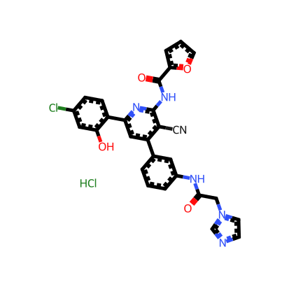 Cl.N#Cc1c(-c2cccc(NC(=O)Cn3ccnc3)c2)cc(-c2ccc(Cl)cc2O)nc1NC(=O)c1ccco1